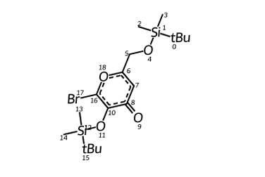 CC(C)(C)[Si](C)(C)OCc1cc(=O)c(O[Si](C)(C)C(C)(C)C)c(Br)o1